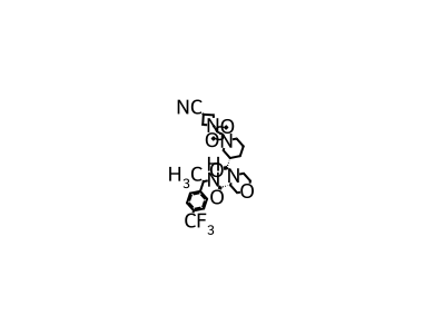 C[C@@H](NC(=O)[C@H]1COCCN1C(=O)[C@H]1CCCN(S(=O)(=O)N2CC(C#N)C2)C1)c1ccc(C(F)(F)F)cc1